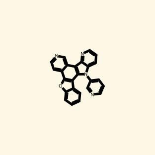 c1cncc(-n2c3cccnc3c3c4cnccc4c4oc5ccccc5c4c32)c1